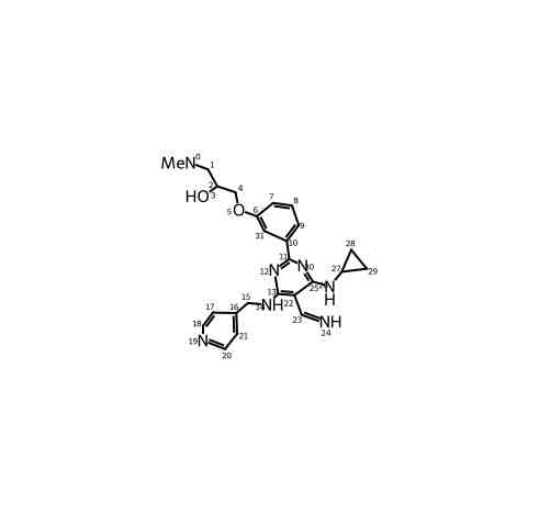 CNCC(O)COc1cccc(-c2nc(NCc3ccncc3)c(C=N)c(NC3CC3)n2)c1